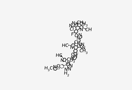 C#Cc1cc(C)c(-c2c(C3=CC[C@]4(CC3)Cc3ccc(C)nc3O4)c3c(N)ncnc3n2CCc2ccnc(Oc3cc4c(cc3F)c3c5c(C)ncnc5n(CCc5ccnc(Oc6cc7c(cc6F)c6c8c(Cl)ncnc8n(C)c6c6c(C)cc(C#C)nc76)n5)c3c3c(C)cc(C#C)nc43)n2)cn1